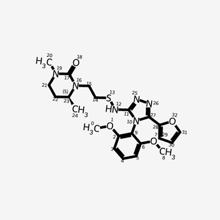 COc1cccc(OC)c1-n1c(NSCCN2C(=O)N(C)CC[C@@H]2C)nnc1-c1ccco1